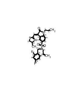 C=CCN1C(=O)/C(=C/C2=NC(C)CS2)c2cc(S(=O)(=O)N(CC=C)Cc3ccc(F)cc3F)ccc21